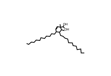 CCCCCCCCCCCCC1C=CC(C)(C(O)O)C(C)C1CCCCCCCCCCCC